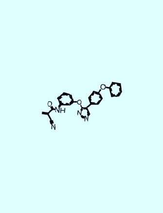 C=C(C#N)C(=O)Nc1cccc(Oc2ncncc2-c2ccc(Oc3ccccc3)cc2)c1